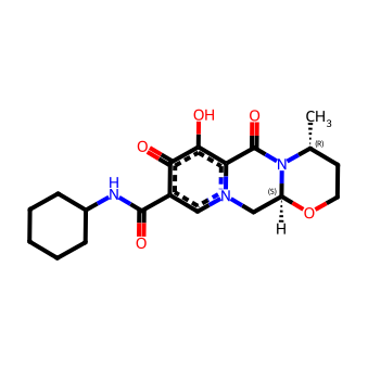 C[C@@H]1CCO[C@H]2Cn3cc(C(=O)NC4CCCCC4)c(=O)c(O)c3C(=O)N12